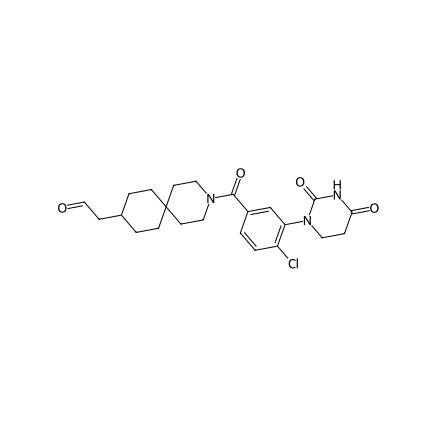 O=CCC1CCC2(CC1)CCN(C(=O)c1ccc(Cl)c(N3CCC(=O)NC3=O)c1)CC2